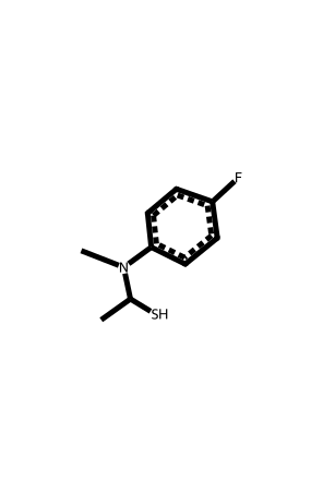 CC(S)N(C)c1ccc(F)cc1